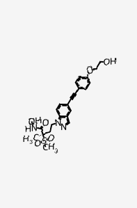 C[C@@](CCn1ncc2cc(C#Cc3ccc(OCCO)cc3)ccc21)(C(=O)NO)S(C)(=O)=O